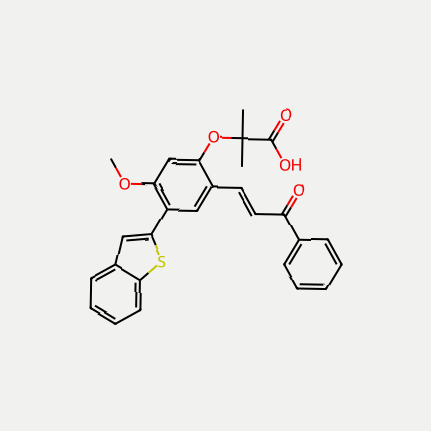 COc1cc(OC(C)(C)C(=O)O)c(C=CC(=O)c2ccccc2)cc1-c1cc2ccccc2s1